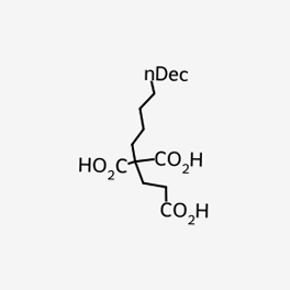 CCCCCCCCCCCCCCC(CCC(=O)O)(C(=O)O)C(=O)O